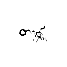 CC1(C)O[C@@H](CCI)[C@@H](COCc2ccccc2)O1